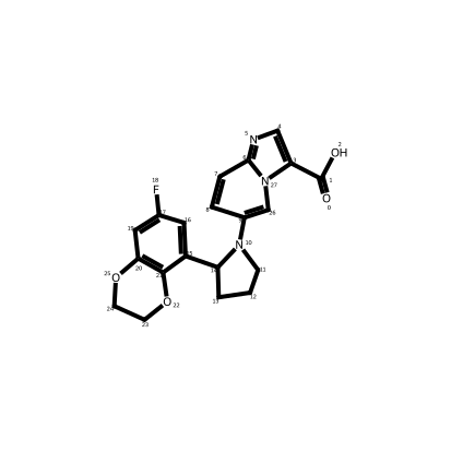 O=C(O)c1cnc2ccc(N3CCCC3c3cc(F)cc4c3OCCO4)cn12